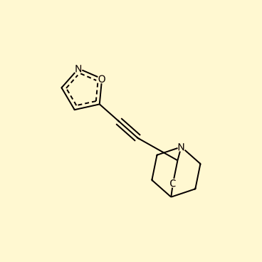 C(#CC1CC2CCN1CC2)c1ccno1